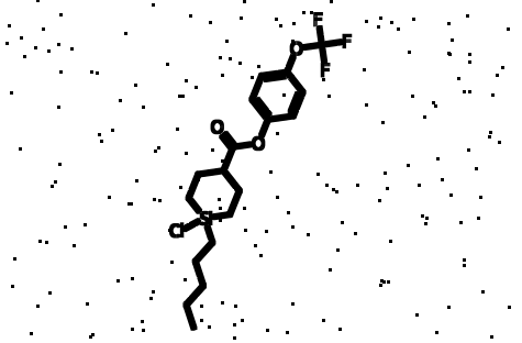 CCCCC[Si]1(Cl)CCC(C(=O)Oc2ccc(OC(F)(F)F)cc2)CC1